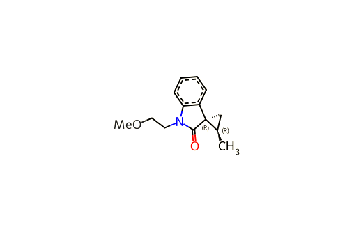 COCCN1C(=O)[C@@]2(C[C@H]2C)c2ccccc21